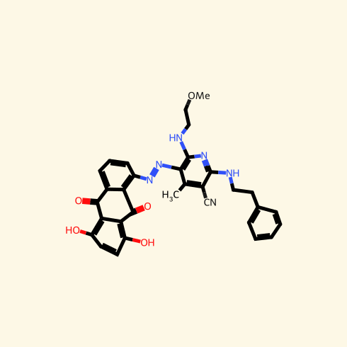 COCCNc1nc(NCCc2ccccc2)c(C#N)c(C)c1/N=N/c1cccc2c1C(=O)c1c(O)ccc(O)c1C2=O